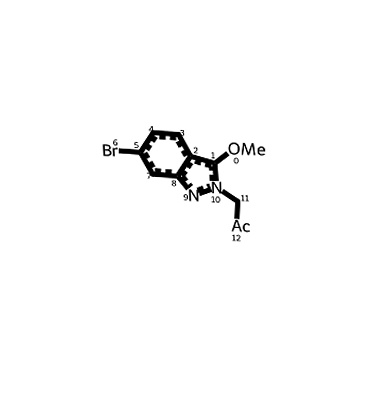 COc1c2ccc(Br)cc2nn1CC(C)=O